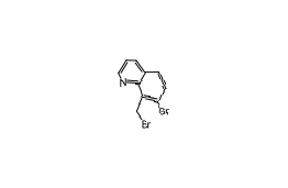 BrCc1c(Br)ccc2cccnc12